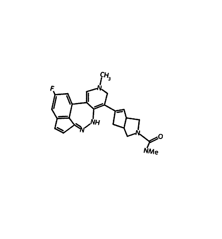 CNC(=O)N1CC2C=C(C3=C4NN=C5C=Cc6cc(F)cc(c65)C4=CN(C)C3)CC2C1